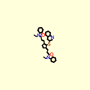 CCN1/C(=C/C=C2\C=CC(/C=C/c3oc4ccccc4[n+]3CC)=C2Sc2cnc3ccccc3c2)Oc2ccccc21